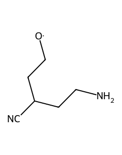 N#CC(CCN)CC[O]